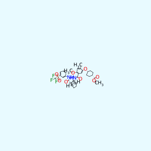 COc1cc(C)c(O[C@H]2CC[C@@H](C(=O)OC)CC2)cc1C(=O)N[C@@H]1[C@H]2CC[C@H](C2)[C@@H]1C(=O)Nc1cccc(S(=O)(=O)C(F)(F)F)c1